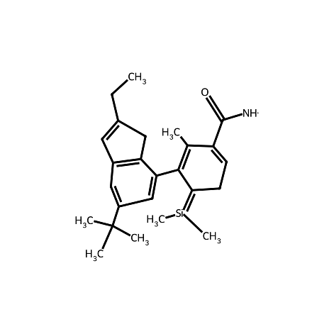 CCC1=Cc2cc(C(C)(C)C)cc(C3=C(C)C(C([NH])=O)=CCC3=[Si](C)C)c2C1